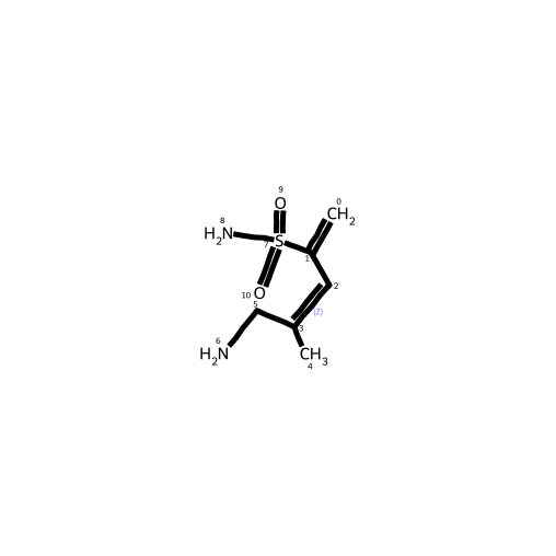 C=C(/C=C(/C)CN)S(N)(=O)=O